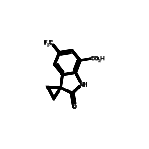 O=C(O)c1cc(C(F)(F)F)cc2c1NC(=O)C21CC1